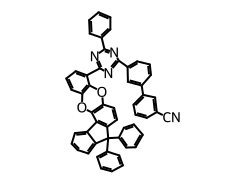 N#Cc1cccc(-c2cccc(-c3nc(-c4ccccc4)nc(-c4cccc5c4Oc4ccc6c(c4O5)-c4ccccc4C6(c4ccccc4)c4ccccc4)n3)c2)c1